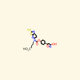 O=C(O)CCCCN(C(=O)Oc1ccc(-c2cc(O)no2)cc1)c1ccc2nc(S)sc2n1